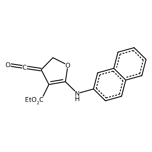 CCOC(=O)C1=C(Nc2ccc3ccccc3c2)OCC1=C=O